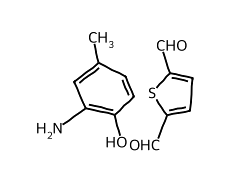 Cc1ccc(O)c(N)c1.O=Cc1ccc(C=O)s1